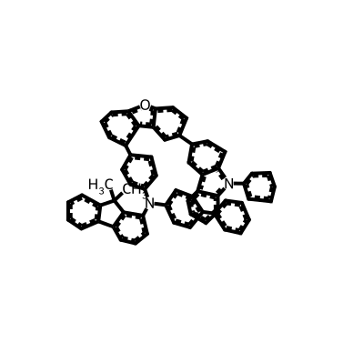 CC1(C)c2ccccc2-c2cccc(N(c3ccc(-c4ccccc4)cc3)c3ccc(-c4cccc5oc6ccc(-c7ccc8c(c7)c7ccccc7n8-c7ccccc7)cc6c45)cc3)c21